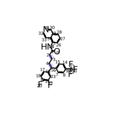 O=C(/C=C/C=C(\c1ccc(C(F)(F)F)cc1)c1ccc(F)c(F)c1)Nc1cccc2cnccc12